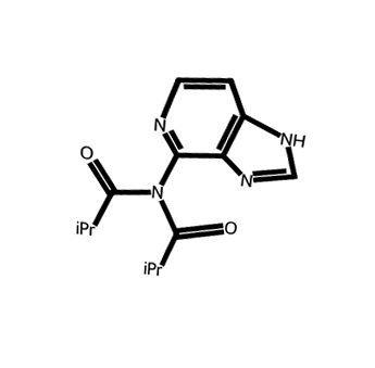 CC(C)C(=O)N(C(=O)C(C)C)c1nccc2[nH]cnc12